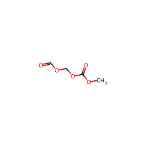 COC(=O)OCO[C]=O